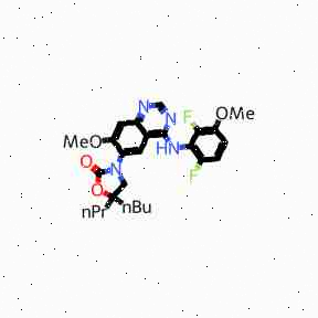 CCCCC1(CCC)CN(c2cc3c(Nc4c(F)ccc(OC)c4F)ncnc3cc2OC)C(=O)O1